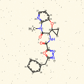 CN1C(=O)C(NC(=O)c2nnc(Cc3ccccc3)o2)C2(CC2)Oc2cccnc21